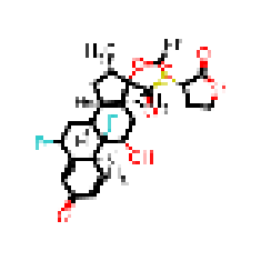 CCC(=O)O[C@]1(C(=O)S[C@H]2CCOC2=O)[C@H](C)C[C@H]2[C@@H]3C[C@H](F)C4=CC(=O)C=C[C@]4(C)[C@@]3(F)[C@H](O)C[C@@]21C